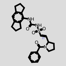 O=C(Nc1c2c(cc3c1CCC3)CCC2)NS(=O)(=O)/C=C/C1CCCN1C(=O)c1ccccc1